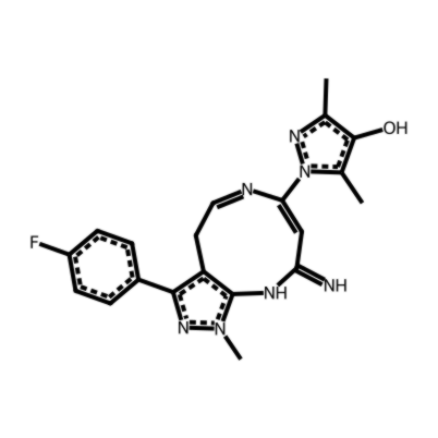 Cc1nn(C2=C/C(=N)Nc3c(c(-c4ccc(F)cc4)nn3C)C/C=N\2)c(C)c1O